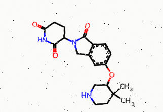 CC1(C)CCNCC1Oc1ccc2c(c1)CN(C1CCC(=O)NC1=O)C2=O